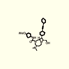 COc1ccc(NC(=O)N2CC(N(C)C)CCN3[C@H](CO)[C@H](c4ccc(C#Cc5ccccc5)cc4)[C@@H]3C2)cc1